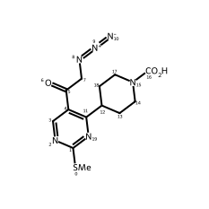 CSc1ncc(C(=O)CN=[N+]=[N-])c(C2CCN(C(=O)O)CC2)n1